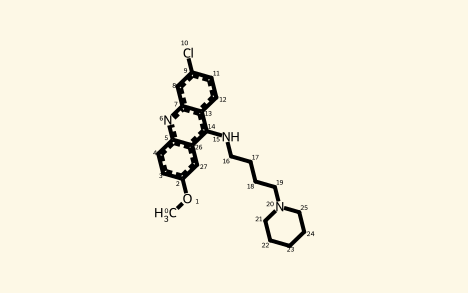 COc1ccc2nc3cc(Cl)ccc3c(NCCCCN3CCCCC3)c2c1